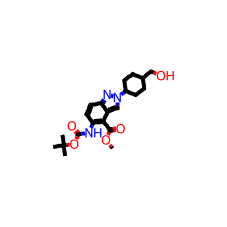 COC(=O)c1c(NC(=O)OC(C)(C)C)ccc2nn(C3CCC(CO)CC3)cc12